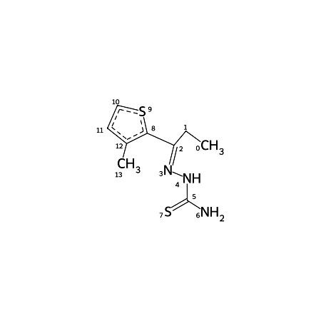 CCC(=NNC(N)=S)c1sccc1C